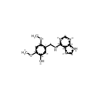 COc1cc(OC)c(CNc2ncnc3[nH]cnc23)cc1O